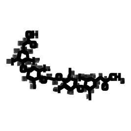 CC(=O)Cc1cc(I)c(Oc2cc(I)c(OCCOc3c(I)cc(Oc4c(I)cc(CC(=O)O)cc4I)cc3I)c(I)c2)c(I)c1